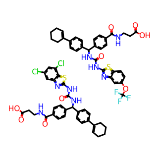 O=C(O)CCNC(=O)c1ccc(C(NC(=O)Nc2nc3cc(Cl)cc(Cl)c3s2)c2ccc(C3=CCCCC3)cc2)cc1.O=C(O)CCNC(=O)c1ccc(C(NC(=O)Nc2nc3cc(OC(F)(F)F)ccc3s2)c2ccc(C3=CCCCC3)cc2)cc1